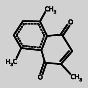 CC1=CC(=O)c2c(C)ccc(C)c2C1=O